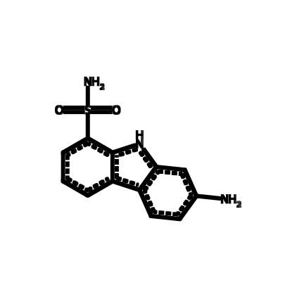 Nc1ccc2c(c1)[nH]c1c(S(N)(=O)=O)cccc12